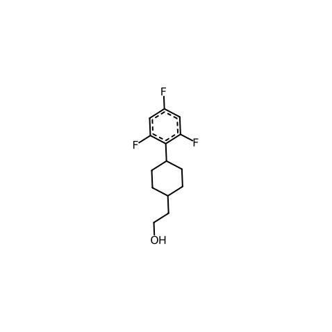 OCCC1CCC(c2c(F)cc(F)cc2F)CC1